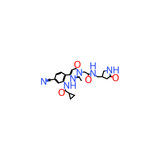 Cc1nc(-c2ccc(C#N)cc2NC(=O)C2CC2)cc(=O)n1CC(=O)NCC1CNC(=O)C1